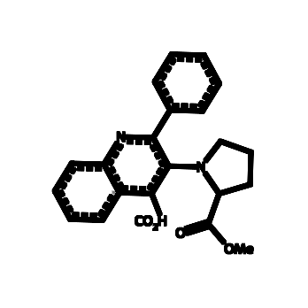 COC(=O)C1CCCN1c1c(-c2ccccc2)nc2ccccc2c1C(=O)O